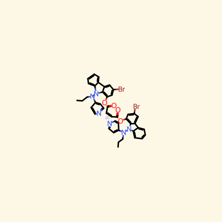 CCCN(c1ccncc1)n1c2ccccc2c2cc(Br)cc(OC(=O)/C=C\C(=O)Oc3cc(Br)cc4c5ccccc5n(N(CCC)c5ccncc5)c34)c21